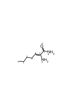 CCCC/C=C(\N)C(N)=O